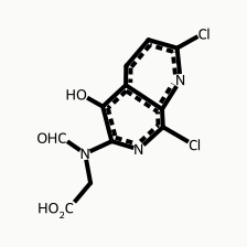 O=CN(CC(=O)O)c1nc(Cl)c2nc(Cl)ccc2c1O